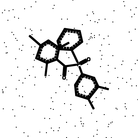 Cc1cc(C)c(C(=O)P(=O)(c2ccccc2)c2ccc(C)c(C)c2)c(C)c1